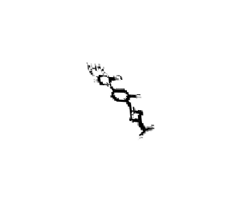 CC(=O)NC[C@H]1CN(c2ccc(N3CC(=C(F)F)C3)c(F)c2)C(=O)O1